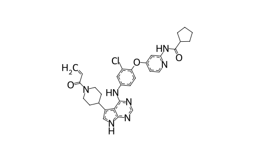 C=CC(=O)N1CCC(c2c[nH]c3ncnc(Nc4ccc(Oc5ccnc(NC(=O)C6CCCC6)c5)c(Cl)c4)c23)CC1